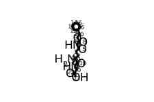 N[C@@H](CCC(=O)NC(=O)OCc1ccccc1)C(=O)NCC(=O)O